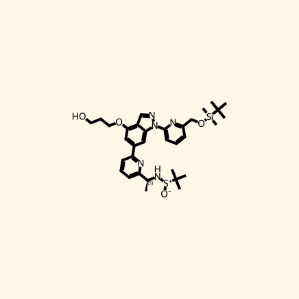 C[C@H](N[S+]([O-])C(C)(C)C)c1cccc(-c2cc(OCCCO)c3cnn(-c4cccc(CO[Si](C)(C)C(C)(C)C)n4)c3c2)n1